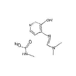 CN(C)C=Nc1ccncc1O.CNC(=O)O